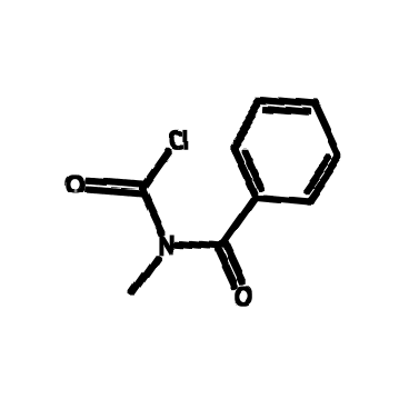 CN(C(=O)Cl)C(=O)c1ccccc1